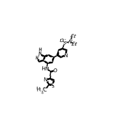 CCN(CC)[S+]([O-])c1cncc(-c2cc(NC(=O)c3csc(C)n3)c3cn[nH]c3c2)c1